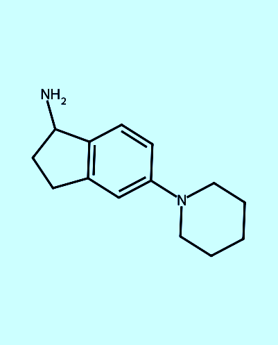 NC1CCc2cc(N3CCCCC3)ccc21